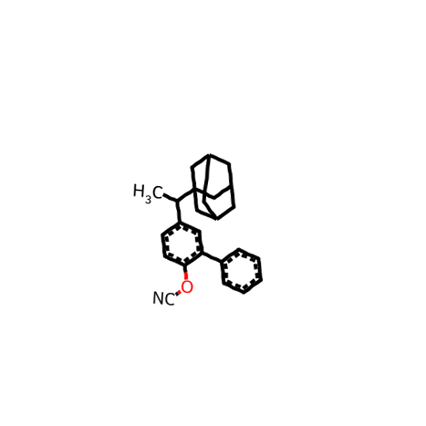 CC(c1ccc(OC#N)c(-c2ccccc2)c1)C12CC3CC(CC(C3)C1)C2